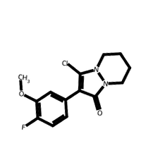 COc1cc(-c2c(Cl)n3n(c2=O)CCCC3)ccc1F